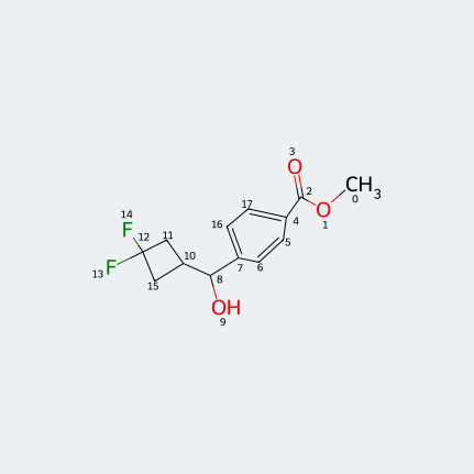 COC(=O)c1ccc(C(O)C2CC(F)(F)C2)cc1